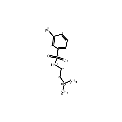 CC(C)c1cccc(S(=O)(=O)NCCN(C)C)c1